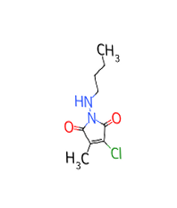 CCCCNN1C(=O)C(C)=C(Cl)C1=O